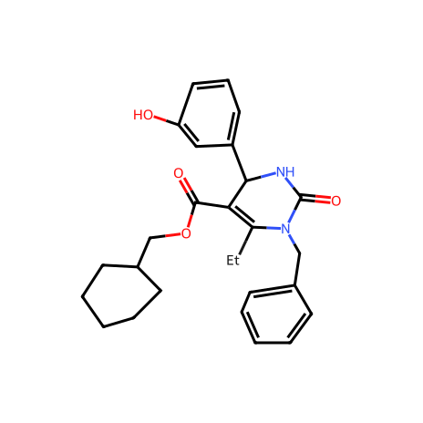 CCC1=C(C(=O)OCC2CCCCC2)C(c2cccc(O)c2)NC(=O)N1Cc1ccccc1